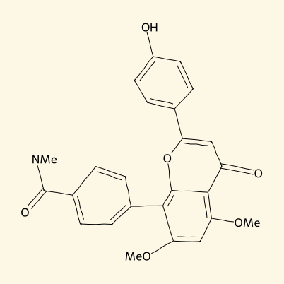 CNC(=O)c1ccc(-c2c(OC)cc(OC)c3c(=O)cc(-c4ccc(O)cc4)oc23)cc1